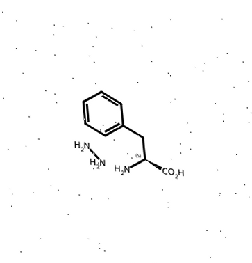 NN.N[C@@H](Cc1ccccc1)C(=O)O